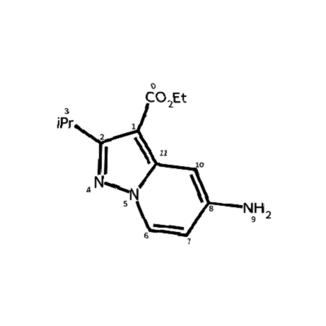 CCOC(=O)c1c(C(C)C)nn2ccc(N)cc12